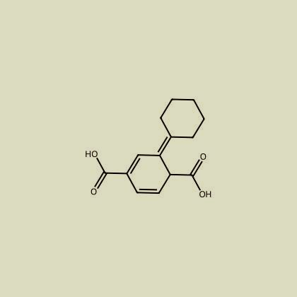 O=C(O)C1=CC(=C2CCCCC2)C(C(=O)O)C=C1